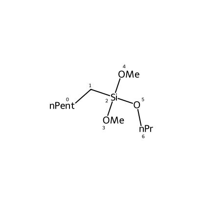 CCCCCC[Si](OC)(OC)OCCC